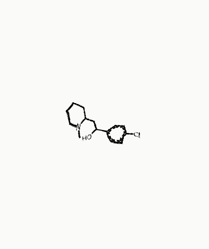 CN1CCCCC1CC(O)c1ccc(Cl)cc1